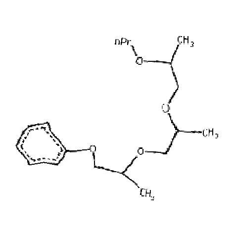 C[CH]COC(C)COC(C)COC(C)COc1ccccc1